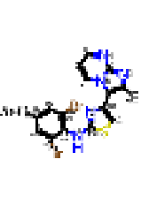 CCc1nc2ncccn2c1-c1csc(Nc2c(Br)cc(OC)cc2Br)n1